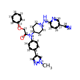 Cn1cc(-c2ccc(N(C(=O)COc3ccccc3)C3CCN(Nc4ccc(C#N)cn4)CC3)cc2)cn1